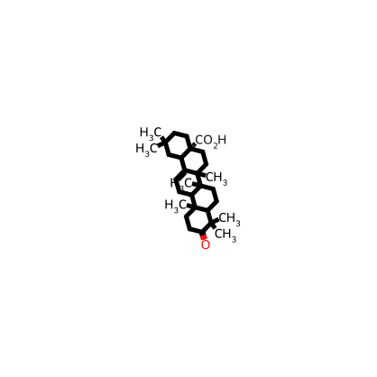 CC1(C)CCC2(C(=O)O)CCC3(C)C(=CCC4C5(C)CCC(=O)C(C)(C)C5CCC43C)C2C1